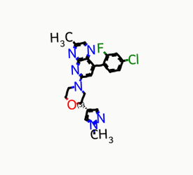 Cc1cnc2c(-c3ccc(Cl)cc3F)cc(N3CCO[C@@H](c4cnn(C)c4)C3)nc2n1